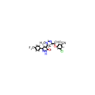 CN(/C=N\C(=C(/C=O)Oc1cc(Cl)cc(C#N)c1)C(F)(F)F)Cc1cc(-c2ccc(C(F)(F)F)cc2)n[nH]c1=O